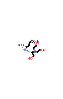 CCCCCN[C@@H](CCC(=O)O)C(=O)O.OCCN(CCO)CCO